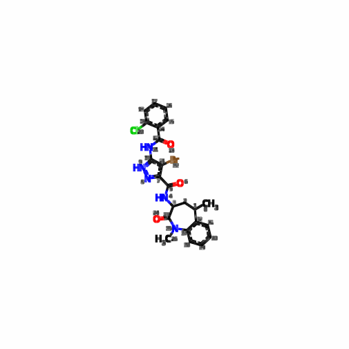 CC1CC(NC(=O)c2n[nH]c(NC(=O)c3ccccc3Cl)c2Br)C(=O)N(C)c2ccccc21